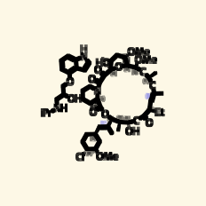 CC(C)NCC(O)COc1cccc2[nH]ccc12.CC[C@@H]1/C=C(\C)C[C@H](C)C[C@H](OC)[C@H]2O[C@@](O)(C(=O)C(=O)N3CCCC[C@H]3C(=O)O[C@H](/C(C)=C/[C@@H]3CC[C@@H](Cl)[C@H](OC)C3)[C@H](C)[C@@H](O)CC1=O)[C@H](C)C[C@@H]2OC